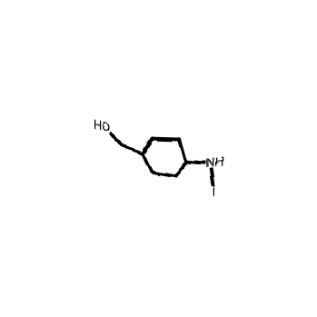 OCC1CCC(NI)CC1